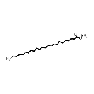 CCCCCCCCCCCC=CCCCCCCCCCCC(=O)OC